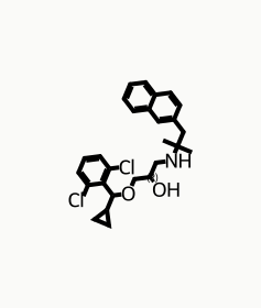 CC(C)(Cc1ccc2ccccc2c1)NC[C@@H](O)COC(c1c(Cl)cccc1Cl)C1CC1